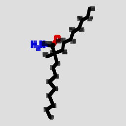 CCCCCCCCCC(C)(CCCCCCCC)C(N)=O